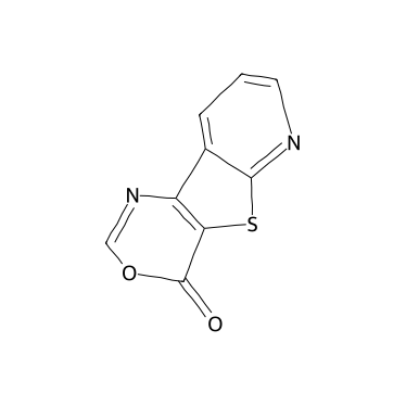 O=c1ocnc2c1sc1ncccc12